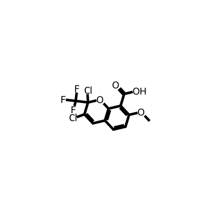 COc1ccc2c(c1C(=O)O)OC(Cl)(C(F)(F)F)C(Cl)=C2